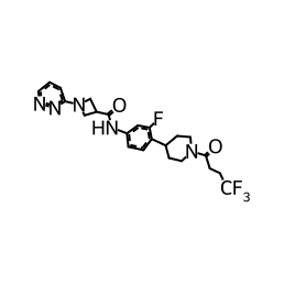 O=C(Nc1ccc(C2CCN(C(=O)CCC(F)(F)F)CC2)c(F)c1)C1CN(c2cccnn2)C1